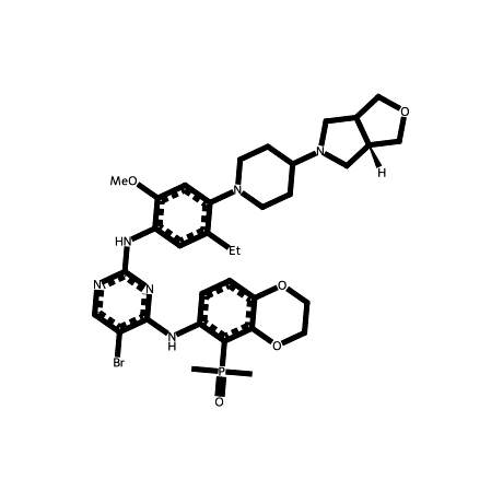 CCc1cc(Nc2ncc(Br)c(Nc3ccc4c(c3P(C)(C)=O)OCCO4)n2)c(OC)cc1N1CCC(N2CC3COC[C@@H]3C2)CC1